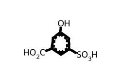 O=C(O)c1cc(O)cc(S(=O)(=O)O)c1